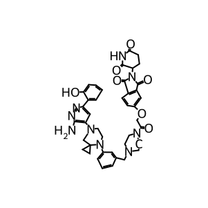 Nc1nnc(-c2ccccc2O)cc1N1CCN(c2cccc(CN3CCN(C(=O)COc4ccc5c(c4)C(=O)N(C4CCC(=O)NC4=O)C5=O)CC3)c2)C2(CC2)C1